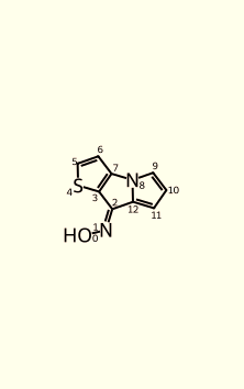 ON=C1c2sccc2-n2cccc21